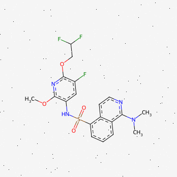 COc1nc(OCC(F)F)c(F)cc1NS(=O)(=O)c1cccc2c(N(C)C)nccc12